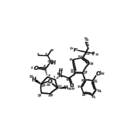 CC(C)NC(=O)[C@@H]1[C@H](NC(=O)C2=CC(C(F)(F)F)=CC2c2ccccc2Cl)[C@@H]2CC[C@H]1O2